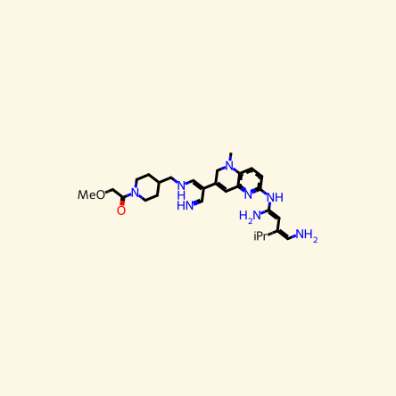 COCC(=O)N1CCC(CN/C=C(\C=N)C2=Cc3nc(N/C(N)=C/C(=C\N)C(C)C)ccc3N(C)C2)CC1